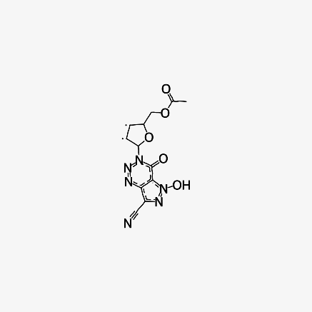 CC(=O)OCC1[CH][CH]C(n2nnc3c(C#N)nn(O)c3c2=O)O1